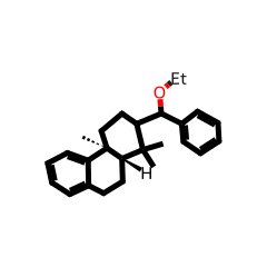 CCOC(c1ccccc1)C1CC[C@]2(C)c3ccccc3CC[C@H]2C1(C)C